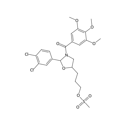 COc1cc(C(=O)N2CC(CCCOS(C)(=O)=O)OC2c2ccc(Cl)c(Cl)c2)cc(OC)c1OC